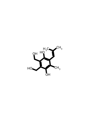 CC(C)=Cc1c(C)c(O)c(CO)c(CO)c1O